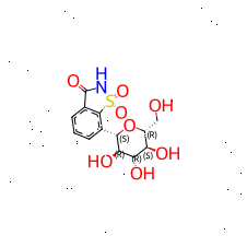 O=C1NS(=O)(=O)c2c1cccc2[C@@H]1O[C@H](CO)[C@@H](O)[C@H](O)[C@H]1O